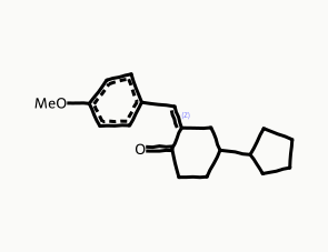 COc1ccc(/C=C2/CC(C3CCCC3)CCC2=O)cc1